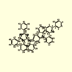 c1ccc(-c2cccc(-c3ccccc3-n3c4ccccc4c4cc5c(cc43)c3ccccc3n5-c3nc(-c4ccccc4)nc(-c4ccccc4-c4ccccc4)n3)n2)cc1